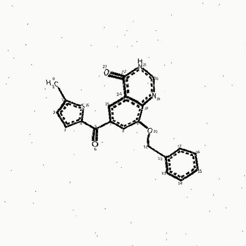 Cc1ccc(C(=O)c2cc(OCc3ccccc3)c3nc[nH]c(=O)c3c2)s1